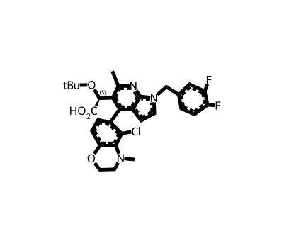 Cc1nc2c(ccn2Cc2ccc(F)c(F)c2)c(-c2ccc3c(c2Cl)N(C)CCO3)c1[C@H](OC(C)(C)C)C(=O)O